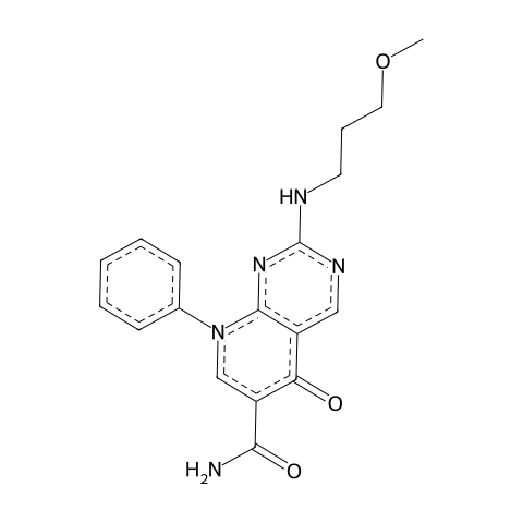 COCCCNc1ncc2c(=O)c(C(N)=O)cn(-c3ccccc3)c2n1